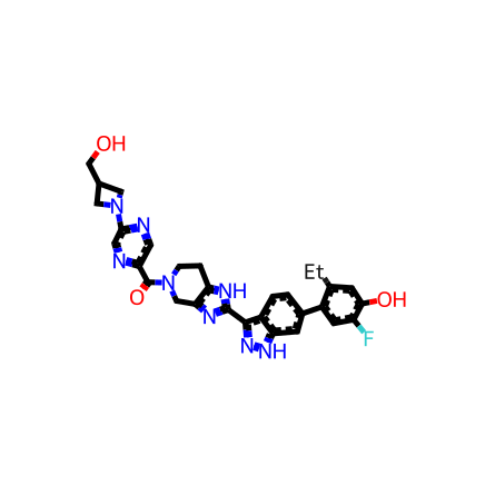 CCc1cc(O)c(F)cc1-c1ccc2c(-c3nc4c([nH]3)CCN(C(=O)c3cnc(N5CC(CO)C5)cn3)C4)n[nH]c2c1